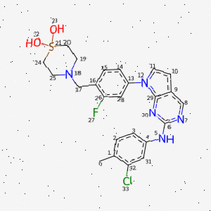 Cc1ccc(Nc2ncc3ccn(-c4ccc(CN5CCS(O)(O)CC5)c(F)c4)c3n2)cc1Cl